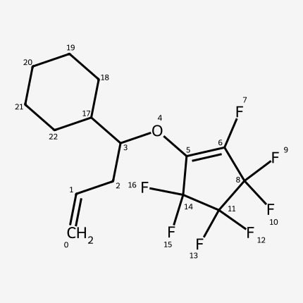 C=CCC(OC1=C(F)C(F)(F)C(F)(F)C1(F)F)C1CCCCC1